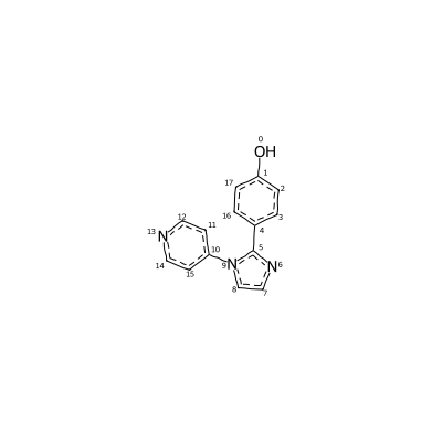 Oc1ccc(-c2nccn2-c2ccncc2)cc1